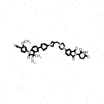 COc1cc(N2C(=O)C(C)(C)c3cc(-c4ccc(N5CC(CN6CCN(c7ccc8c(c7)C(=O)N(C7CCC(=O)NC7=O)C8=O)CC6)C5)cc4)ccc32)ccc1C#N